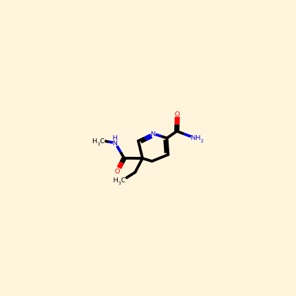 CCC1(C(=O)NC)C=NC(C(N)=O)=CC1